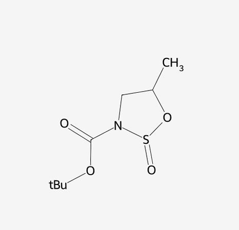 CC1CN(C(=O)OC(C)(C)C)S(=O)O1